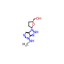 CNN1C=NC=C2C1=NNN2[C@@H]1CC[C@@H](CO)O1